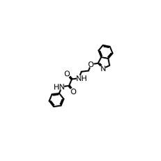 O=C(NCCOC1=NCc2ccccc21)C(=O)Nc1ccccc1